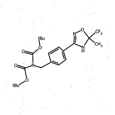 CC(C)(C)OC(=O)N(Cc1ccc(C2=NOC(C)(C(F)(F)F)N2)cc1)C(=O)OC(C)(C)C